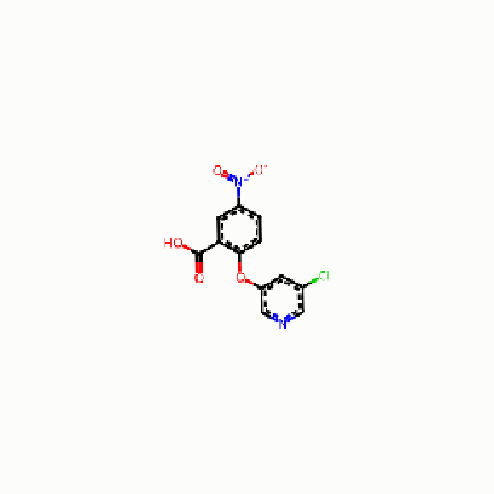 O=C(O)c1cc([N+](=O)[O-])ccc1Oc1cncc(Cl)c1